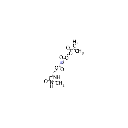 C=C1NC(=O)C=C(CCOC(=O)/C=C/C(=O)OCOC(=O)C(C)C)N1